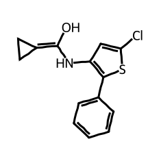 OC(Nc1cc(Cl)sc1-c1ccccc1)=C1CC1